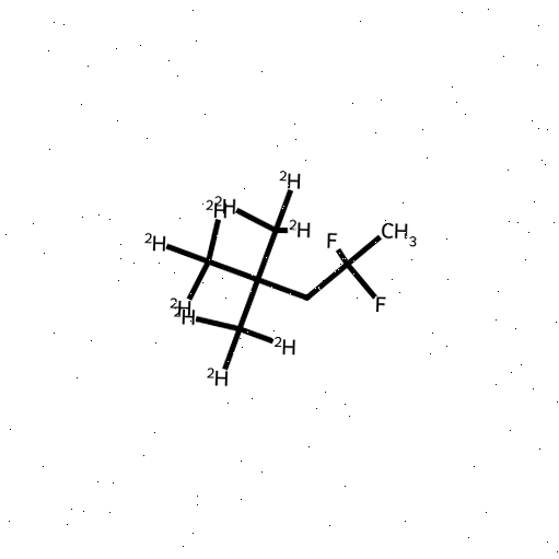 [2H]C([2H])([2H])C(CC(C)(F)F)(C([2H])([2H])[2H])C([2H])([2H])[2H]